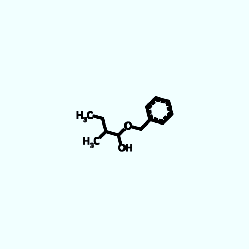 CCC(C)C(O)OCc1ccccc1